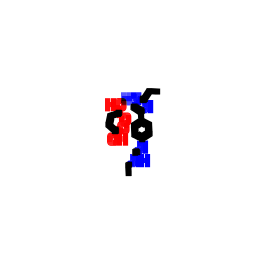 CCN/C=N/c1ccc(-c2c[nH]c(CC)n2)cc1.O=C(O)/C=C\C(=O)O